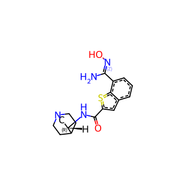 N/C(=N\O)c1cccc2cc(C(=O)N[C@H]3CN4CCC3CC4)sc12